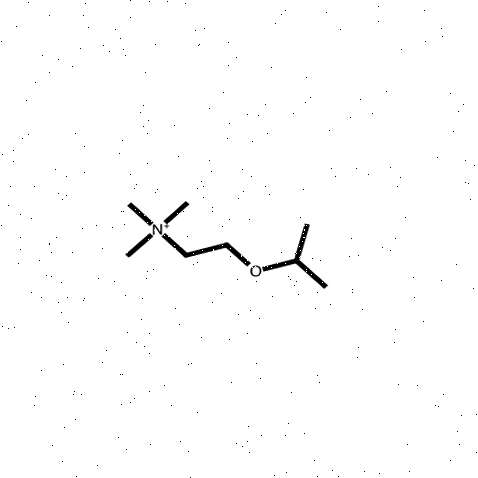 CC(C)OCC[N+](C)(C)C